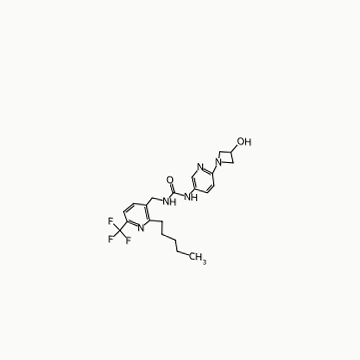 CCCCCc1nc(C(F)(F)F)ccc1CNC(=O)Nc1ccc(N2CC(O)C2)nc1